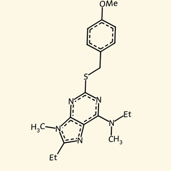 CCc1nc2c(N(C)CC)nc(SCc3ccc(OC)cc3)nc2n1C